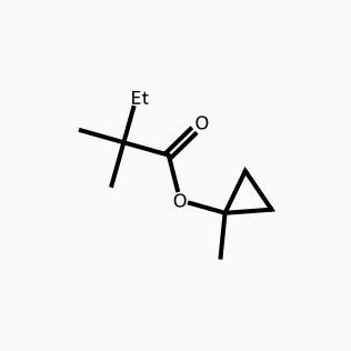 CCC(C)(C)C(=O)OC1(C)CC1